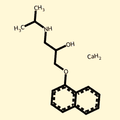 CC(C)NCC(O)COc1cccc2ccccc12.[CaH2]